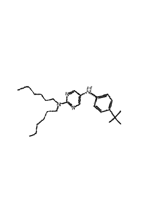 CCCCCCN(CCCCCC)c1ncc(Nc2ccc(C(C)(C)C)cc2)cn1